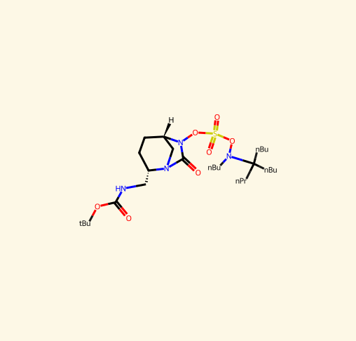 CCCCN(OS(=O)(=O)ON1C(=O)N2C[C@@H]1CC[C@H]2CNC(=O)OC(C)(C)C)C(CCC)(CCCC)CCCC